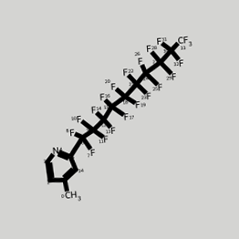 Cc1ccnc(C(F)(F)C(F)(F)C(F)(F)C(F)(F)C(F)(F)C(F)(F)C(F)(F)C(F)(F)C(F)(F)C(F)(F)F)c1